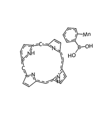 C1=Cc2cc3ccc(cc4nc(cc5ccc(cc1n2)[nH]5)C=C4)[nH]3.OB(O)c1cccc[c]1[Mn]